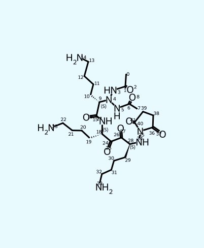 CC(=O)NN(NC(C)=O)[C@@H](CCCCN)C(=O)N[C@@H](CCCCN)C(=O)C(=O)[C@H](CCCCN)NN1C(=O)CCC1=O